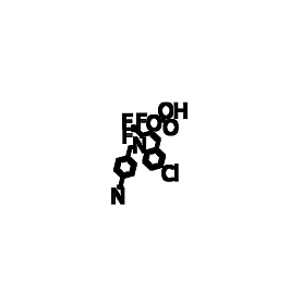 N#Cc1ccc(CN2c3ccc(Cl)cc3C=C(OC(=O)O)C2C(F)(F)F)cc1